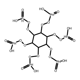 O=[PH](O)OOC1C(OO[PH](=O)O)C(OO[PH](=O)O)C(OO[PH](=O)O)C(OO[PH](=O)O)C1OO[PH](=O)O